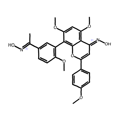 COc1ccc(-c2c/c(=N\O)c3c(OC)cc(OC)c(-c4cc(/C(C)=N/O)ccc4OC)c3o2)cc1